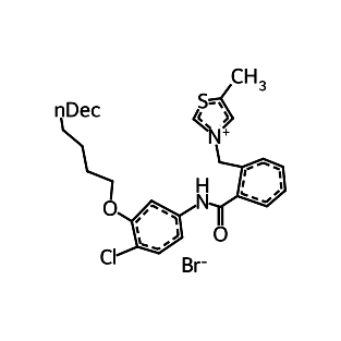 CCCCCCCCCCCCCCOc1cc(NC(=O)c2ccccc2C[n+]2csc(C)c2)ccc1Cl.[Br-]